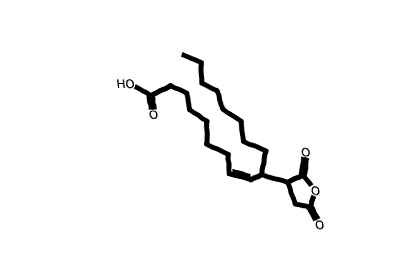 CCCCCCCCC(/C=C\CCCCCCC(=O)O)C1CC(=O)OC1=O